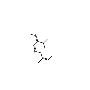 C/C=C(/C)C/N=C\C(=N/C)C(C)C